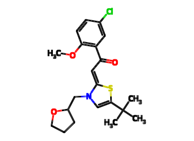 COc1ccc(Cl)cc1C(=O)/C=C1\SC(C(C)(C)C)=CN1CC1CCCO1